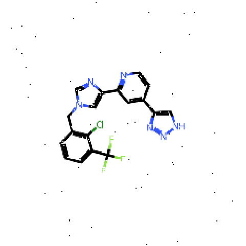 FC(F)(F)c1cccc(Cn2cnc(-c3cc(-c4c[nH]nn4)ccn3)c2)c1Cl